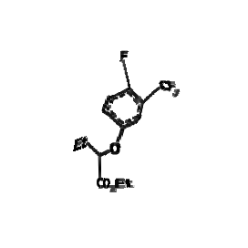 CCOC(=O)C(CC)Oc1ccc(F)c(C(F)(F)F)c1